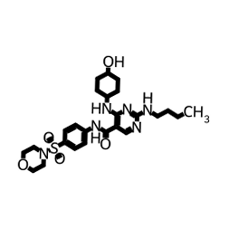 CCCCNc1ncc(C(=O)Nc2ccc(S(=O)(=O)N3CCOCC3)cc2)c(NC2CCC(O)CC2)n1